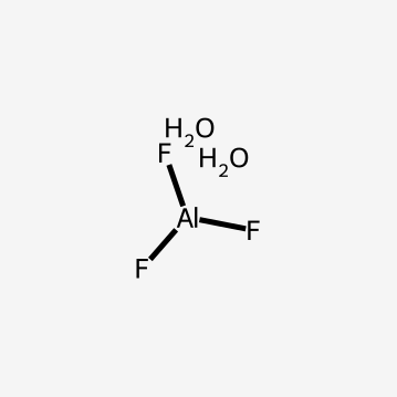 O.O.[F][Al]([F])[F]